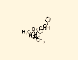 CC(C)CC(CC(=O)NOCc1ccccc1)C(=O)NC(=O)[C@H](C)N